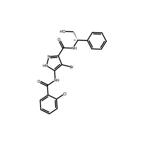 O=C(Nc1[nH]nc(C(=O)N[C@H](CO)c2ccccc2)c1Br)c1ccccc1Cl